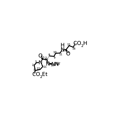 CCOC(=O)C1CCN(C(=O)[C@H](CCCCNC(=O)CCC(=O)O)N=[N+]=[N-])CC1